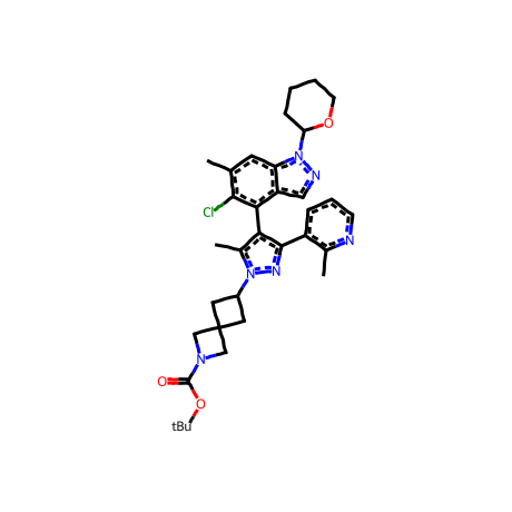 Cc1cc2c(cnn2C2CCCCO2)c(-c2c(-c3cccnc3C)nn(C3CC4(C3)CN(C(=O)OC(C)(C)C)C4)c2C)c1Cl